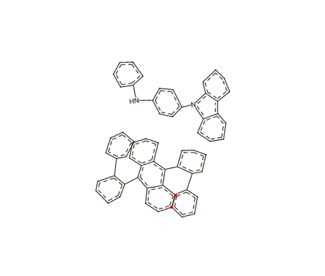 c1ccc(-c2ccccc2-c2c3ccccc3c(-c3ccccc3-c3ccccc3)c3ccccc23)cc1.c1ccc(Nc2ccc(-n3c4ccccc4c4ccccc43)cc2)cc1